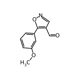 COc1cccc(-c2oncc2C=O)c1